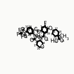 COc1cc(F)c(O[C@H]2CC[C@@](C)(C(=O)O)CC2)cc1C(=O)N[C@@H]1COCC[C@@H]1C(=O)Nc1cccc(S(=O)(=O)C(F)(F)F)c1